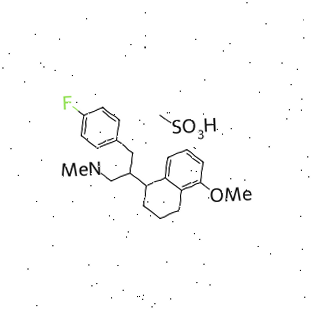 CNCC(Cc1ccc(F)cc1)C1CCCc2c(OC)cccc21.CS(=O)(=O)O